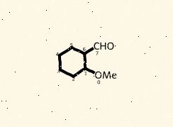 COC1CCCCC1[C]=O